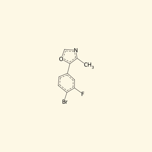 Cc1ncoc1-c1ccc(Br)c(F)c1